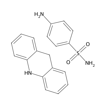 Nc1ccc(S(N)(=O)=O)cc1.c1ccc2c(c1)Cc1ccccc1N2